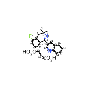 CC1(C)Cc2c(F)cccc2C(c2cnc3ccccc3c2)=N1.O=C(O)/C=C/C(=O)O